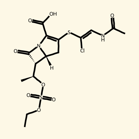 CCOS(=O)(=O)O[C@@H](C)[C@@H]1C(=O)N2C(C(=O)O)=C(SC(Cl)=CNC(C)=O)C[C@H]12